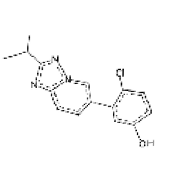 CC(C)c1nc2ccc(-c3cc(O)ccc3Cl)cn2n1